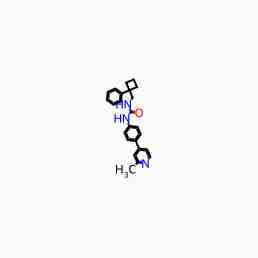 Cc1cc(-c2ccc(NC(=O)NCC3(c4ccccc4)CCC3)cc2)ccn1